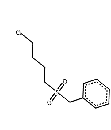 O=S(=O)(CCCCCl)Cc1ccccc1